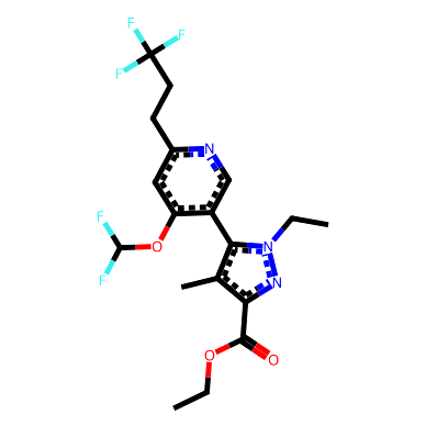 CCOC(=O)c1nn(CC)c(-c2cnc(CCC(F)(F)F)cc2OC(F)F)c1C